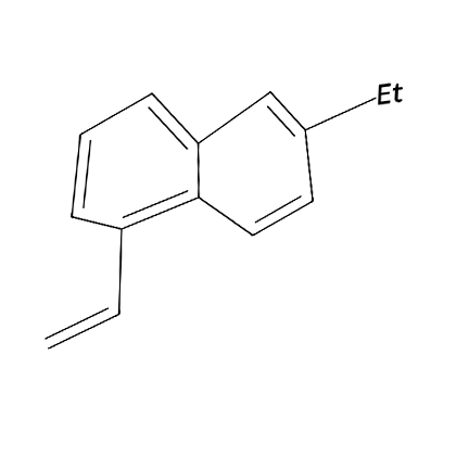 C=Cc1cccc2cc(CC)ccc12